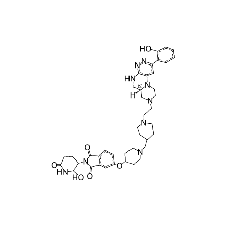 O=C1CCC(N2C(=O)c3ccc(OC4CCN(CC5CCN(CCN6CCN7c8cc(-c9ccccc9O)nnc8NC[C@H]7C6)CC5)CC4)cc3C2=O)C(O)N1